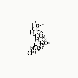 O.O.O.O.O.O.[Cl-].[Cl-].[Cl-].[Ho+3]